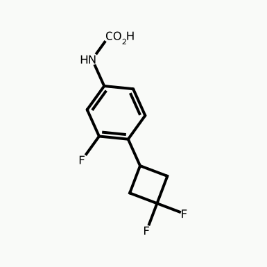 O=C(O)Nc1ccc(C2CC(F)(F)C2)c(F)c1